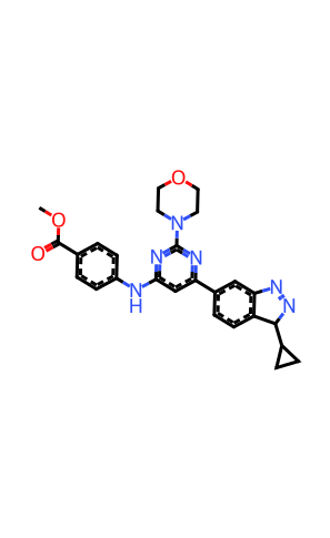 COC(=O)c1ccc(Nc2cc(-c3ccc4c(c3)N=NC4C3CC3)nc(N3CCOCC3)n2)cc1